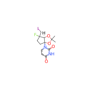 CC1(C)O[C@@H]2[C@@](F)(CI)CC[C@@]2(n2ccc(=O)[nH]c2=O)O1